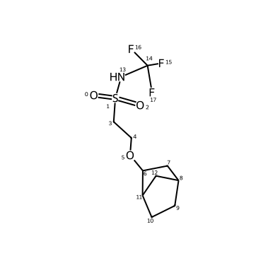 O=S(=O)(CCOC1CC2CCC1C2)NC(F)(F)F